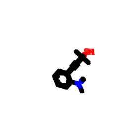 CN(C)c1ccccc1C#CC(C)(C)O